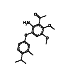 COc1cc(Oc2ccc(C(C)C)c(C)c2)c(N)c(C(C)=O)c1OC